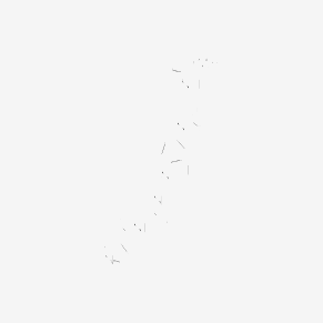 COC(=O)NC[C@H]1CN(c2ccc(N3CCN(C(=O)CNC(=O)c4ccno4)CC3)c(F)c2)C(=O)O1